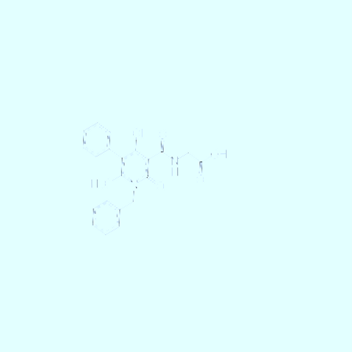 Cc1c(-c2ccccc2)c(O)c(C(=O)NCC(=O)O)c(=O)n1Cc1ccccc1